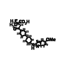 COc1ccc2nc(Nc3ccc(-c4ccc(C(=O)CC(C)(C)C(=O)O)cc4)cc3)sc2c1